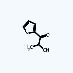 CC(C#N)C(=O)c1cccs1